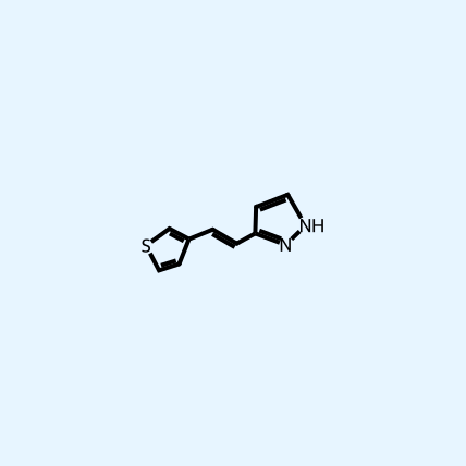 C(=Cc1cc[nH]n1)c1ccsc1